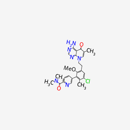 COc1c(CCn2cc(C)c(=O)c3c(N)ncnc32)cc(Cl)c(C)c1-c1ccc(C(=O)N(C)C)nc1